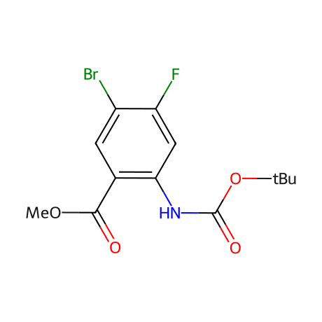 COC(=O)c1cc(Br)c(F)cc1NC(=O)OC(C)(C)C